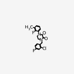 Cc1cccc(N2CCN(Cc3ccc(F)cc3Cl)C(=O)C2=O)c1F